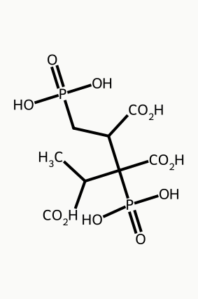 CC(C(=O)O)C(C(=O)O)(C(CP(=O)(O)O)C(=O)O)P(=O)(O)O